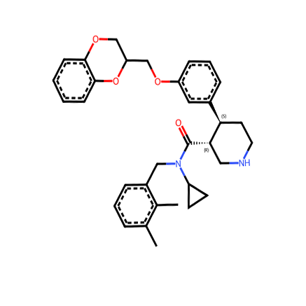 Cc1cccc(CN(C(=O)[C@H]2CNCC[C@@H]2c2cccc(OCC3COc4ccccc4O3)c2)C2CC2)c1C